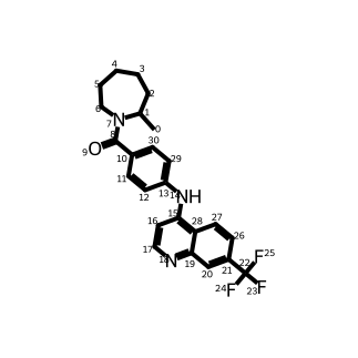 CC1CCCCCN1C(=O)c1ccc(Nc2ccnc3cc(C(F)(F)F)ccc23)cc1